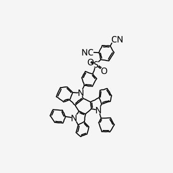 N#Cc1ccc(S(=O)(=O)c2ccc(-n3c4ccccc4c4c5c(c6ccccc6n5-c5ccccc5)c5c(c6ccccc6n5-c5ccccc5)c43)cc2)c(C#N)c1